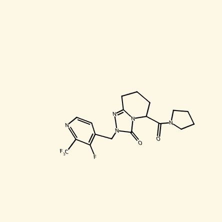 O=C(C1CCCc2nn(Cc3ccnc(C(F)(F)F)c3F)c(=O)n21)N1CCCC1